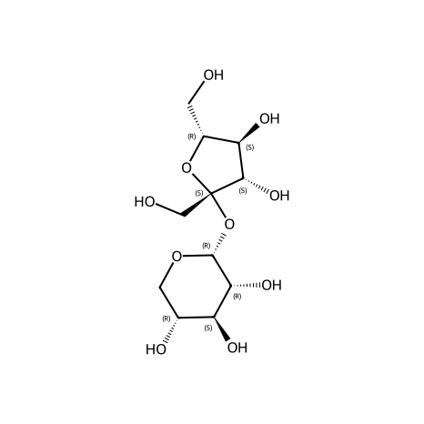 OC[C@H]1O[C@@](CO)(O[C@H]2OC[C@@H](O)[C@H](O)[C@H]2O)[C@@H](O)[C@@H]1O